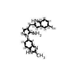 Cc1nc2cc(-n3ncc([C]c4cc5cc(I)ccc5[nH]4)c3N)ccc2[nH]1